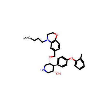 COCCCN1CCOc2ccc(CO[C@H]3CNC[C@@H](O)[C@@H]3c3ccc(Oc4ccccc4C)cc3)cc21